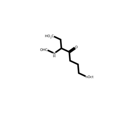 CCCCCCCCCCCC(=O)C(CC(=O)O)NC=O